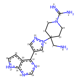 N=C(N)N1CCC(CN)(n2cc(-c3ncnc4[nH]ccc34)cn2)CC1